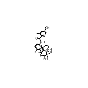 Cc1cc(C#N)cnc1C(=O)Nc1ccc(F)c([C@@]2(C)N=C(N)C(C)(C)S3(O)NCCC[C@H]23)n1